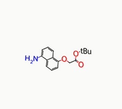 CC(C)(C)OC(=O)COc1cccc2c(N)cccc12